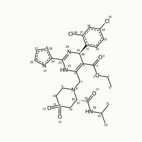 CCOC(=O)C1=C(CN2CCS(=O)(=O)C[C@H]2C(=O)NC(C)C)NC(c2nccs2)=N[C@H]1c1ccc(Cl)cc1Cl